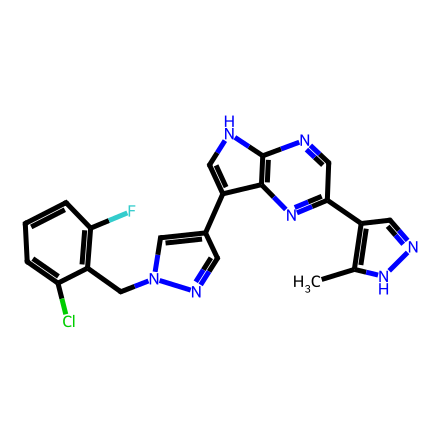 Cc1[nH]ncc1-c1cnc2[nH]cc(-c3cnn(Cc4c(F)cccc4Cl)c3)c2n1